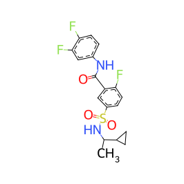 CC(NS(=O)(=O)c1ccc(F)c(C(=O)Nc2ccc(F)c(F)c2)c1)C1CC1